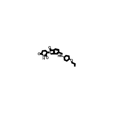 CCCO[C@H]1CC[C@H](NCc2ccc3c(c2)CN(C2CCC(=O)NC2=O)C3=O)CC1